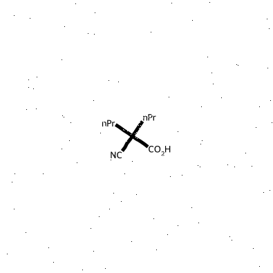 CCCC(C#N)(CCC)C(=O)O